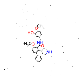 COc1ccc(CNC(=O)c2c(OC)ccc(-c3ccccc3)c2C2CCNCC2)cc1O